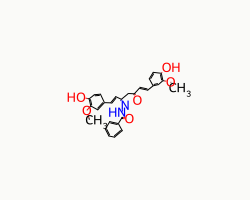 COc1cc(C=CC(=O)CC(C=Cc2ccc(O)c(OC)c2)=NNC(=O)c2ccccc2)ccc1O